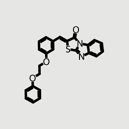 O=c1/c(=C/c2cccc(OCCOc3ccccc3)c2)sc2nc3ccccc3n12